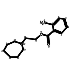 Nc1ccccc1C(=O)OCCN1CCCCCC1